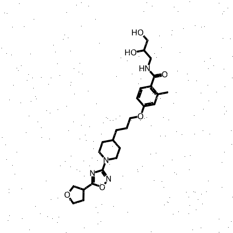 Cc1cc(OCCCC2CCN(c3noc(C4CCOC4)n3)CC2)ccc1C(=O)NCC(O)CO